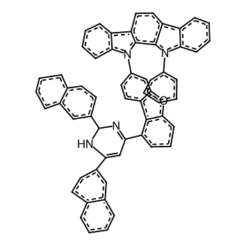 C1=C(c2ccc3ccccc3c2)NC(c2ccc3ccccc3c2)N=C1c1cccc2oc3cc(-n4c5ccccc5c5ccc6c7ccccc7n(-c7ccccc7)c6c54)ccc3c12